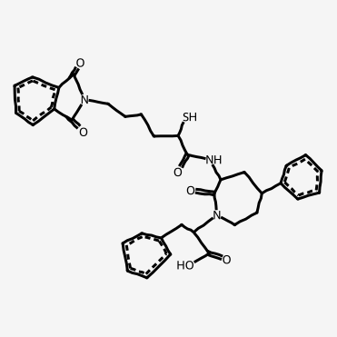 O=C(NC1CC(c2ccccc2)CCN(C(Cc2ccccc2)C(=O)O)C1=O)C(S)CCCCN1C(=O)c2ccccc2C1=O